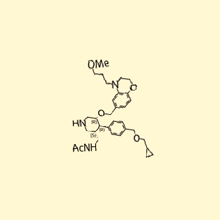 COCCCN1CCOc2ccc(CO[C@H]3CNC[C@@H](CNC(C)=O)[C@@H]3c3ccc(COCC4CC4)cc3)cc21